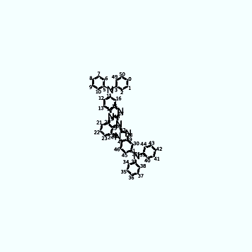 c1ccc(N(c2ccccc2)c2ccc3c(c2)nc2n3c3cccc4c3n2c2nc3cc(N(c5ccccc5)c5ccccc5)ccc3n42)cc1